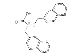 O=C(O)[C@@H](Cc1ccc2ccccc2c1)OCc1ccc2ccccc2c1